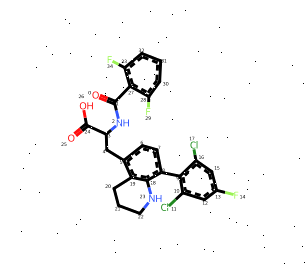 O=C(NC(Cc1ccc(-c2c(Cl)cc(F)cc2Cl)c2c1CCCN2)C(=O)O)c1c(F)cccc1F